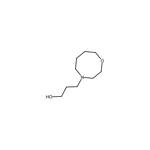 OCCCN1CCCCOCC1